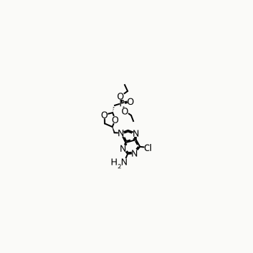 CCOP(=O)(C[C@H]1OC[C@H](Cn2cnc3c(Cl)nc(N)nc32)O1)OCC